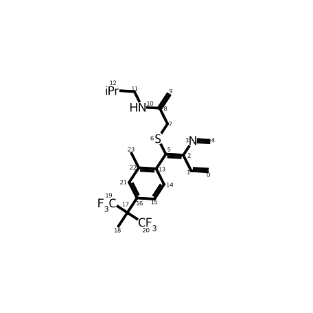 C=C/C(N=C)=C(/SCC(=C)NCC(C)C)c1ccc(C(C)(C(F)(F)F)C(F)(F)F)cc1C